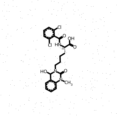 CN1C(=O)N(CCCC[C@H](NC(=O)c2c(Cl)cccc2Cl)C(=O)O)C(O)c2ccccc21